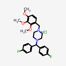 COc1ccc(CN2CCN(C(c3ccc(F)cc3)c3ccc(F)cc3)CC2)c(OC)c1OC.Cl